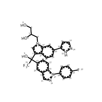 OCC(O)Cn1cc(C(O)(c2ccc3c(cnn3-c3ccc(F)cc3)c2)C(F)(F)F)c2ccc(-c3ccn[nH]3)cc21